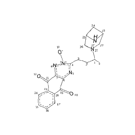 CC(CCc1nc2c(n[n+]1[O-])C(=O)c1ccccc1C2=O)N1CC2CC(C1)N2